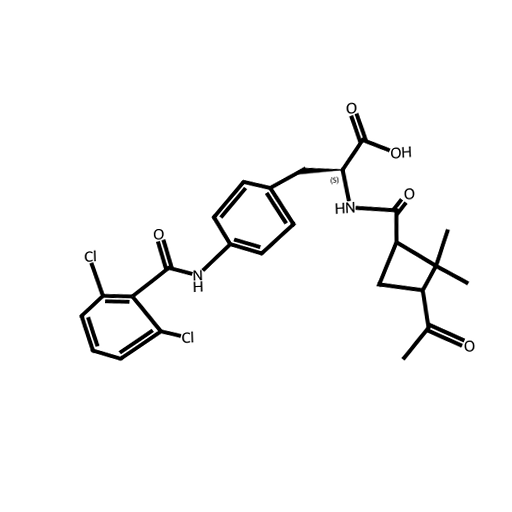 CC(=O)C1CC(C(=O)N[C@@H](Cc2ccc(NC(=O)c3c(Cl)cccc3Cl)cc2)C(=O)O)C1(C)C